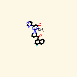 Cn1c(N2CCCC(C(=O)c3ccc(F)c4ccccc34)C2)nc(-c2ccncn2)cc1=O